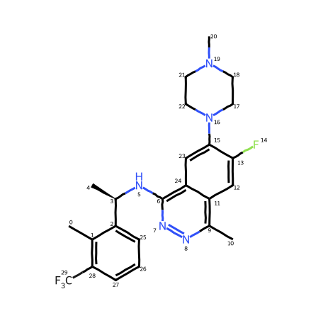 Cc1c([C@@H](C)Nc2nnc(C)c3cc(F)c(N4CCN(C)CC4)cc23)cccc1C(F)(F)F